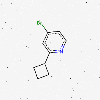 Brc1ccnc(C2CCC2)c1